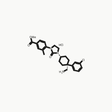 COC(=O)c1ccc(N2CCN([C@H]3CC[C@](CN)(c4cccc(Cl)c4)CC3)C2=O)c(C)c1.Cl